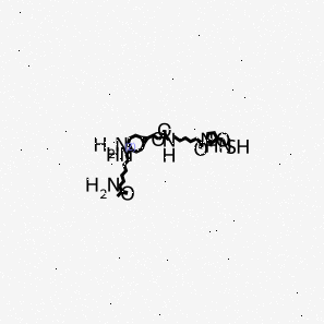 CC(=O)C(N)CCCCCN/C1=C(\N)CCC2C(CC1)C2COC(=O)NCCCCCC(=O)N1CCC(ONS)C1